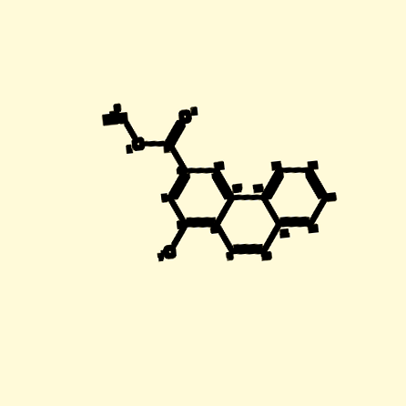 CCCCOC(=O)c1cc([O])c2ccc3ccccc3c2c1